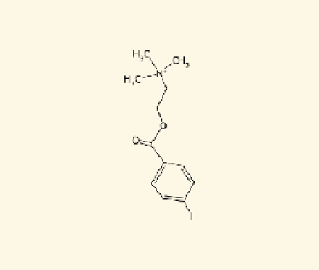 C[N+](C)(C)CCOC(=O)c1ccc(I)cc1